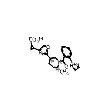 C[C@@H]1CC[C@@H](c2nc(C3CC3C(=O)O)co2)CN1C(=O)c1ccccc1-n1nccn1